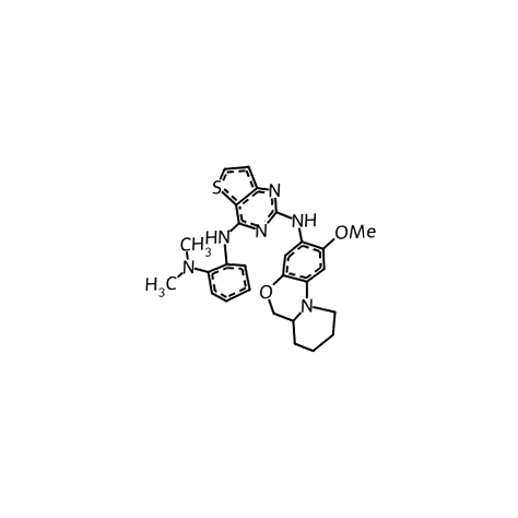 COc1cc2c(cc1Nc1nc(Nc3ccccc3N(C)C)c3sccc3n1)OCC1CCCCN21